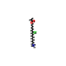 C=C(C)C(=O)OCCCCCCCCCCCCCCCC[N+](C)(C)C.[Cl-]